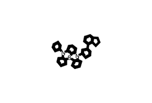 c1ccc(N2c3ccccc3B3c4ccccc4N(c4cccc(-c5cccc6c5CCC6)c4)c4cccc2c43)cc1